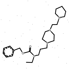 CCN(CCCN1CCN(CCN2CCCCC2)CC1)C(=O)OCc1ccccc1